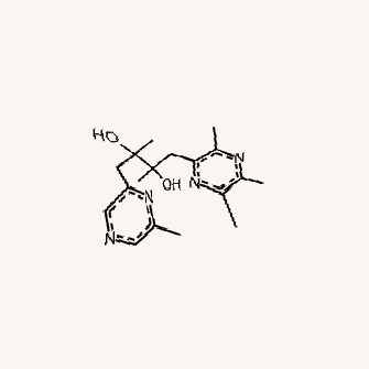 Cc1cncc(CC(C)(O)C(C)(O)Cc2nc(C)c(C)nc2C)n1